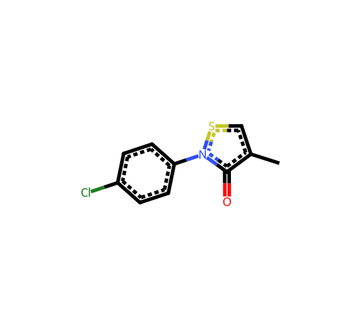 Cc1csn(-c2ccc(Cl)cc2)c1=O